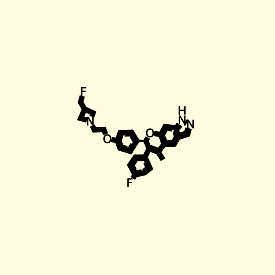 CC1=C(c2ccc(F)cc2)[C@@H](c2ccc(OCCN3CC(CF)C3)cc2)Oc2cc3[nH]ncc3cc21